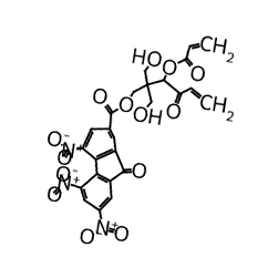 C=CC(=O)OC(C(=O)C=C)C(CO)(CO)COC(=O)c1cc2c(c([N+](=O)[O-])c1)-c1c(cc([N+](=O)[O-])cc1[N+](=O)[O-])C2=O